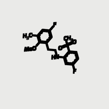 COc1c(C)cc(F)cc1CCNc1cc(F)ccc1S(C)(=O)=O